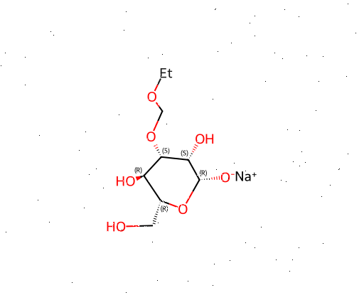 CCOCO[C@@H]1[C@H](O)[C@H]([O-])O[C@H](CO)[C@H]1O.[Na+]